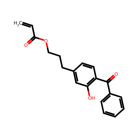 C=CC(=O)OCCCc1ccc(C(=O)c2ccccc2)c(O)c1